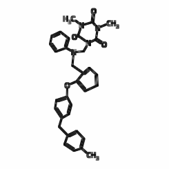 Cc1ccc(Cc2ccc(Oc3ccccc3CN(Cn3c(=O)n(C)c(=O)n(C)c3=O)c3ccccc3)cc2)cc1